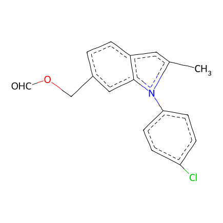 Cc1cc2ccc(COC=O)cc2n1-c1ccc(Cl)cc1